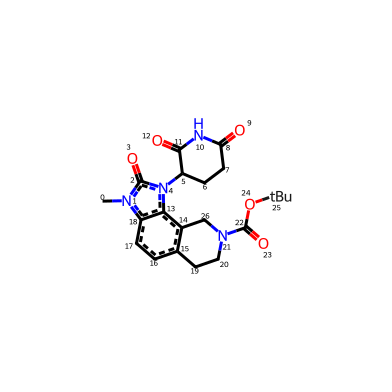 Cn1c(=O)n(C2CCC(=O)NC2=O)c2c3c(ccc21)CCN(C(=O)OC(C)(C)C)C3